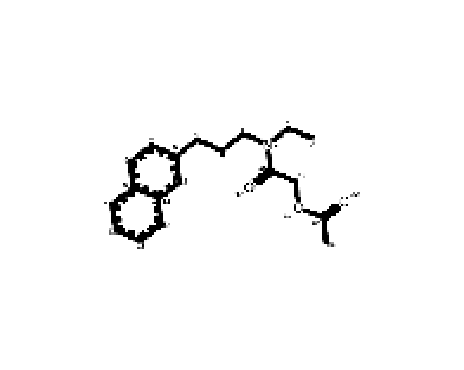 CCN(CCCc1ccc2ccccc2c1)C(=O)COC(C)=O